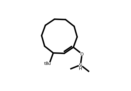 C[SiH](C)OC1=CC(C(C)(C)C)CCCCCCC1